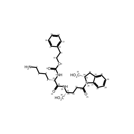 NCCCC[C@H](NC(=O)OCCc1ccccc1)C(=O)N[C@H](CCC(=O)N1c2ccccc2C[C@H]1C(=O)O)C(=O)O